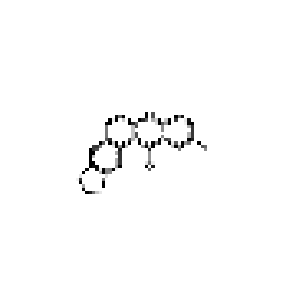 O=c1c2cc(F)ccc2oc2ccc3cc4c(cc3c12)OCO4